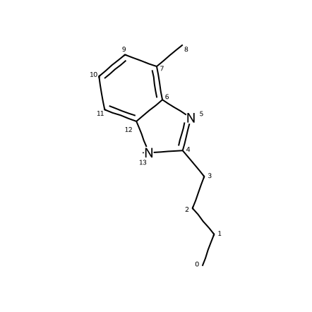 CCCCC1=Nc2c(C)cccc2[N]1